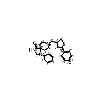 O=C1NCN(c2ccccc2)C12CCN(CC1CSC(c3ccc(F)cc3)C1)CC2